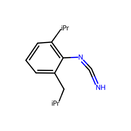 CC(C)Cc1cccc(C(C)C)c1N=C=N